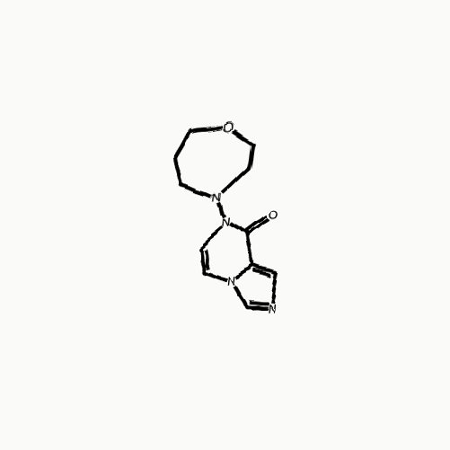 O=c1c2cncn2ccn1N1CCCOCC1